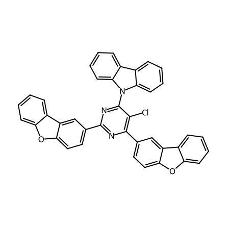 Clc1c(-c2ccc3oc4ccccc4c3c2)nc(-c2ccc3oc4ccccc4c3c2)nc1-n1c2ccccc2c2ccccc21